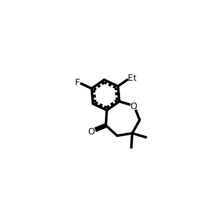 CCc1cc(F)cc2c1OCC(C)(C)CC2=O